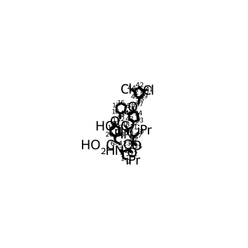 CC(C)CC(NCC(C(=O)O)c1ccc(OCC2CCCCC2)cc1)C(=O)OC(=O)C(CC(C)C)NC(Cc1ccc(OCc2cc(Cl)cc(Cl)c2)cc1)C(=O)O